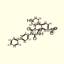 O=C1NC(=O)N(c2ccc(-c3ccccc3)cc2)C(=O)C1[C@H]1CNCCN1c1ccc([N+](=O)[O-])cc1